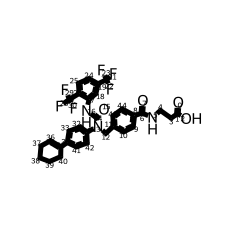 O=C(O)CCNC(=O)c1ccc(CN(C(=O)Nc2cc(C(F)(F)F)ccc2C(F)(F)F)c2ccc(C3=CCCCC3)cc2)cc1